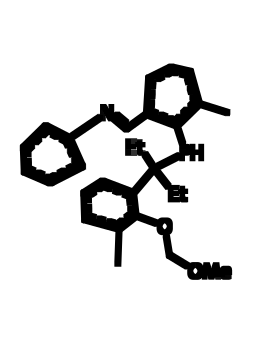 CCC(CC)(Pc1c(C)cccc1/C=N/c1ccccc1)c1cccc(C)c1OCOC